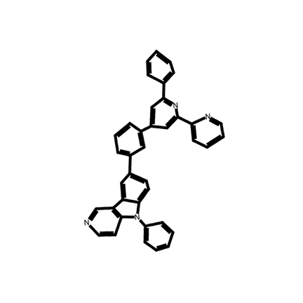 c1ccc(-c2cc(-c3cccc(-c4ccc5c(c4)c4cnccc4n5-c4ccccc4)c3)cc(-c3ccccn3)n2)cc1